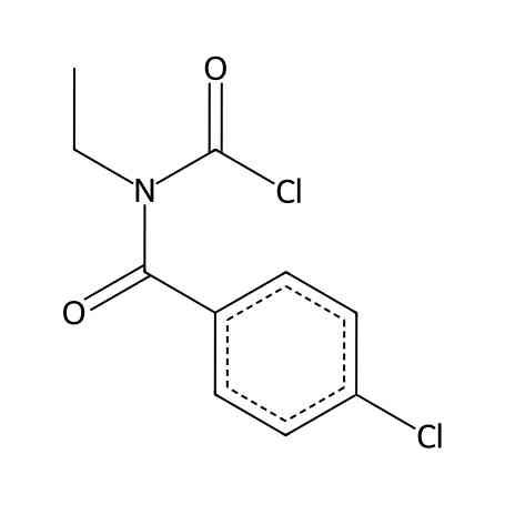 CCN(C(=O)Cl)C(=O)c1ccc(Cl)cc1